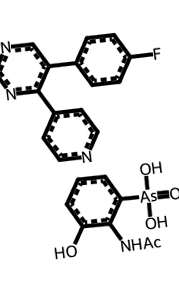 CC(=O)Nc1c(O)cccc1[As](=O)(O)O.Fc1ccc(-c2cncnc2-c2ccncc2)cc1